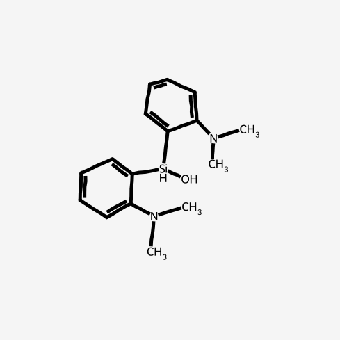 CN(C)c1ccccc1[SiH](O)c1ccccc1N(C)C